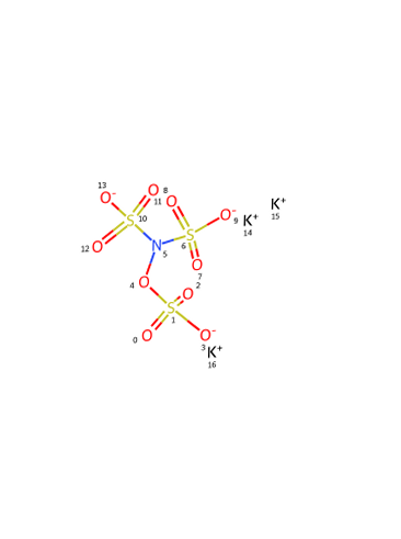 O=S(=O)([O-])ON(S(=O)(=O)[O-])S(=O)(=O)[O-].[K+].[K+].[K+]